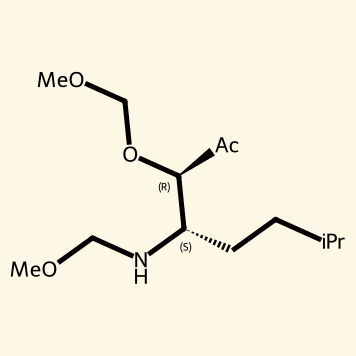 COCN[C@@H](CCC(C)C)[C@@H](OCOC)C(C)=O